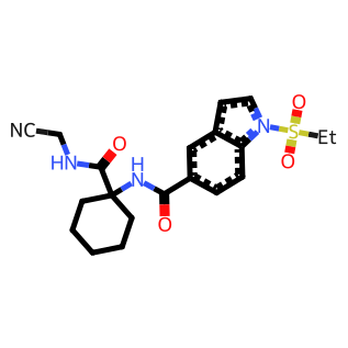 CCS(=O)(=O)n1ccc2cc(C(=O)NC3(C(=O)NCC#N)CCCCC3)ccc21